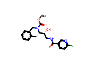 CC(C)(C)OC(=O)N1Cc2ccccc2C[C@H]1[C@H](O)CNC(=O)c1ccc(Cl)nc1